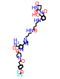 NC(=O)c1cc(-c2cn(CCCCNC(=O)CCCCNc3cccc4c3C(O)N(C3CCC(=O)NC3=O)C4=O)cn2)cnc1OC1CCN(C(=O)Cc2ccc(OC(F)(F)F)cc2)CC1